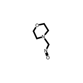 O=NCN1CCOCC1